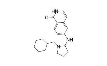 O=c1[nH]ccc2cc(NC3CCCN3CC3CCCCC3)ccc12